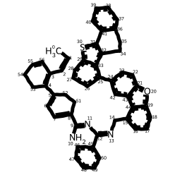 C/C=C\C1=C(C2=CC=C(/C(N)=N/C(=N\Cc3cccc4oc5ccc(-c6cccc7sc8c(c67)CCc6ccccc6-8)cc5c34)c3ccccc3)CC2)CCC=C1